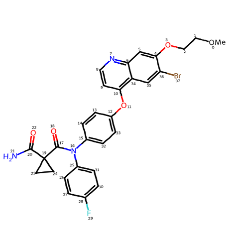 COCCOc1cc2nccc(Oc3ccc(N(C(=O)C4(C(N)=O)CC4)c4ccc(F)cc4)cc3)c2cc1Br